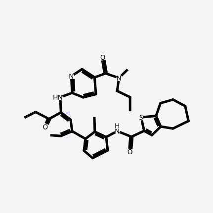 C/C=C(\C=C(\Nc1ccc(C(=O)N(C)CCC)cn1)C(=O)CC)c1cccc(NC(=O)c2cc3c(s2)CCCCC3)c1C